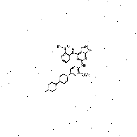 COc1cc(N2CCC(N3CCN(C)CC3)CC2)ccc1Nc1nc(Nc2ccccc2[S+]([O-])C(C)C)c2cn[nH]c2n1